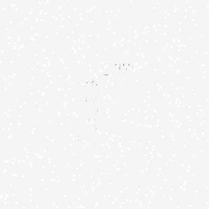 CNCCN(C)C[C@@H](O)COCC(F)(F)F